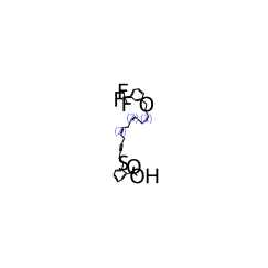 O=C(O)c1ccccc1SCC#CC/C=C\C/C=C\C/C=C\COc1cccc(C(F)(F)F)c1